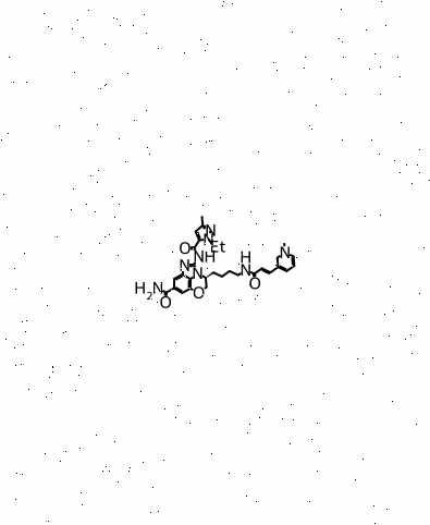 CCn1nc(C)cc1C(=O)Nc1nc2cc(C(N)=O)cc3c2n1[C@@H](CCCCNC(=O)/C=C/C1=CC=CN(C)C1)CO3